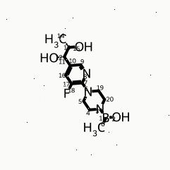 CB(O)N1CCN(c2ncc([C@H](O)[C@H](C)O)cc2F)CC1